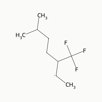 C[CH]C(CCC(C)C)C(F)(F)F